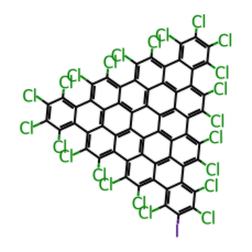 Clc1c(Cl)c(Cl)c2c(c1Cl)c1c(Cl)c(Cl)c3c4c(Cl)c(Cl)c5c6c(Cl)c(Cl)c(Cl)c(Cl)c6c6c(Cl)c(Cl)c7c8c(Cl)c(Cl)c9c%10c(Cl)c(I)c(Cl)c(Cl)c%10c%10c(Cl)c(Cl)c%11c%12c(Cl)c(Cl)c2c2c1c3c1c(c%122)c2c%11c%10c9c8c2c2c7c6c5c4c12